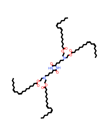 CCCCC/C=C\C/C=C\CCCCCCCC(=O)OCCN(CCCCC1NC(=O)C(CCCCN(CCOC(=O)CCCCCCC/C=C\C/C=C\CCCCC)CCOC(=O)CCCCCCC/C=C\C/C=C\CCCCC)NC1=O)CCOC(=O)CCCCCCC/C=C\C/C=C\CCCCC